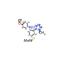 CNSc1ccc(Nc2ccc(OC(F)(F)F)cc2)c(-c2nnnn2C)c1